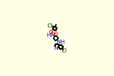 Cc1ccc(S(=O)(=O)N[C@H]2CC[C@@H](Nc3ccnc4cc(Cl)ccc34)CC2)cc1Cl